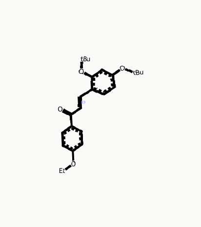 CCOc1ccc(C(=O)/C=C/c2ccc(OC(C)(C)C)cc2OC(C)(C)C)cc1